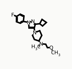 COCCN(C)C1CCN(c2cn(-c3ccc(F)cc3)nc2C2CCC2)CC1